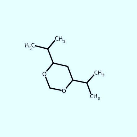 CC(C)C1CC(C(C)C)OCO1